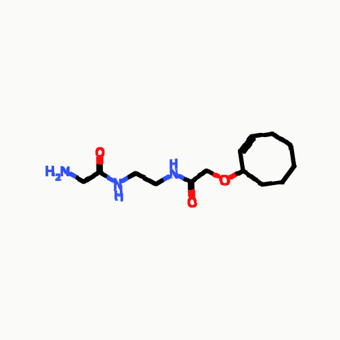 NCC(=O)NCCNC(=O)COC1/C=C\CCCCC1